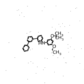 CCOc1cc(Nc2cccc(-c3cccc(-c4ccccc4)c3)c2)cc(OC(C)C)c1